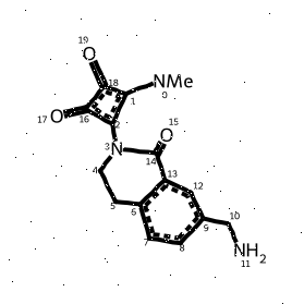 CNc1c(N2CCc3ccc(CN)cc3C2=O)c(=O)c1=O